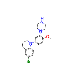 COc1ccc(N2CCCc3cc(Br)ccc32)cc1N1CCNCC1